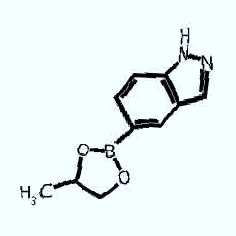 CC1COB(c2ccc3[nH]ncc3c2)O1